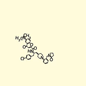 CN(C)c1ccc2oc(C(=O)N[C@@H](C=C3CCN(c4ccccc4CN4CCCC4=O)CC3)Cc3ccc(Cl)cc3)cc(=O)c2c1